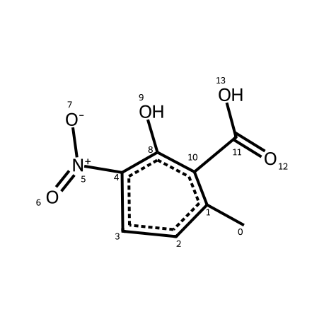 Cc1ccc([N+](=O)[O-])c(O)c1C(=O)O